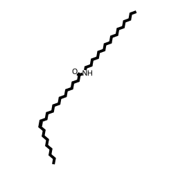 CCCCCCCC/C=C\CCCCCCCCCCCC(=O)NCCCCCCCCCCCCCCCC